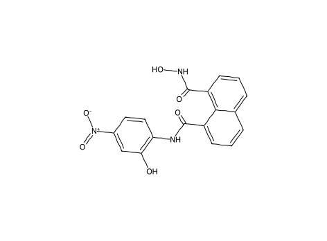 O=C(NO)c1cccc2cccc(C(=O)Nc3ccc([N+](=O)[O-])cc3O)c12